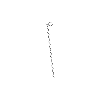 CCCCCCCCCCCCCCCCCCCCCCC(C)(CC)CC